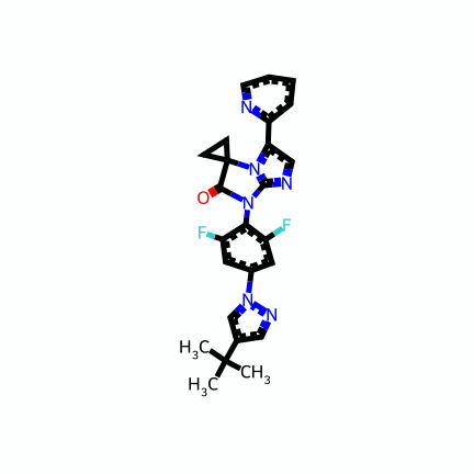 CC(C)(C)c1cnn(-c2cc(F)c(N3C(=O)C4(CC4)n4c(-c5ccccn5)cnc43)c(F)c2)c1